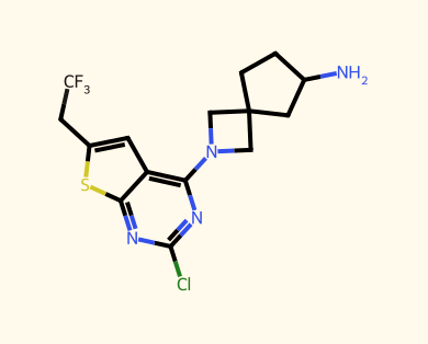 NC1CCC2(C1)CN(c1nc(Cl)nc3sc(CC(F)(F)F)cc13)C2